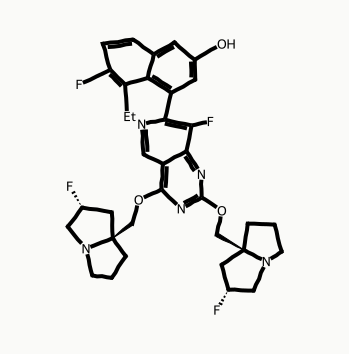 CCc1c(F)ccc2cc(O)cc(-c3ncc4c(OC[C@@]56CCCN5C[C@H](F)C6)nc(OC[C@@]56CCCN5C[C@H](F)C6)nc4c3F)c12